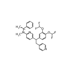 C[C@@H](c1ccccc1)N(C)c1ccc(C(Cc2ccncc2)c2ccc(OC(F)F)c(OC(F)F)c2)cn1